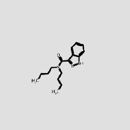 CCCCN(CCCC)C(=O)c1n[nH]c2ccccc12